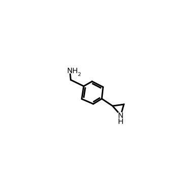 NCc1ccc(C2CN2)cc1